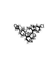 Nc1nn2cc(Cl)cnc2c1C(=O)Nc1c(N2CCN(C3COC3)CC2)ccnc1F